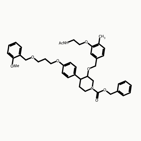 COc1ccccc1COCCCOc1ccc(C2CCN(C(=O)OCc3ccccc3)CC2OCc2ccc(C)c(OCCNC(C)=O)c2)cc1